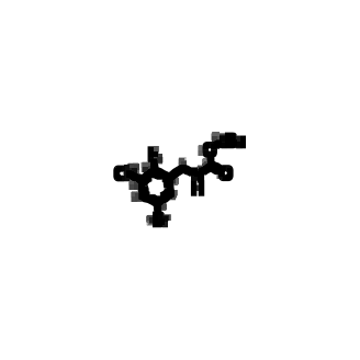 CC(C)(C)OC(=O)NCc1cc(Br)cc(Cl)c1F